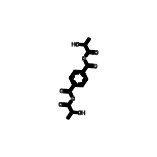 CC(O)C(=O)OC(=O)c1ccc(C(=O)OC(=O)C(C)O)cc1